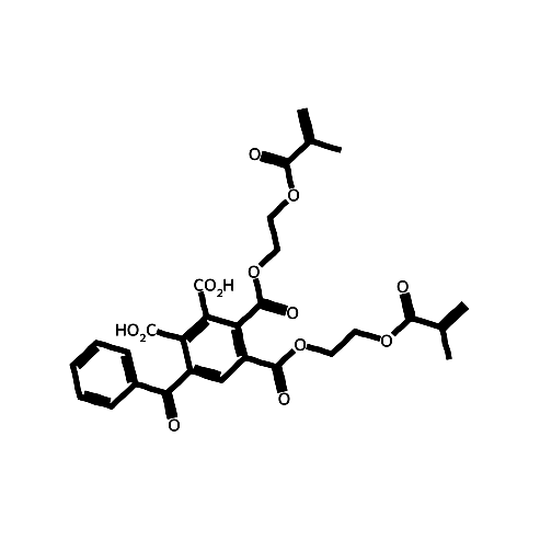 C=C(C)C(=O)OCCOC(=O)c1cc(C(=O)c2ccccc2)c(C(=O)O)c(C(=O)O)c1C(=O)OCCOC(=O)C(=C)C